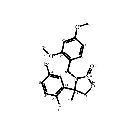 COc1ccc(CN2S(=O)OCC2(C)c2cc(Br)ccc2F)c(OC)c1